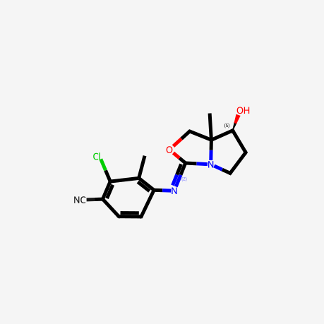 Cc1c(/N=C2\OCC3(C)[C@@H](O)CCN23)ccc(C#N)c1Cl